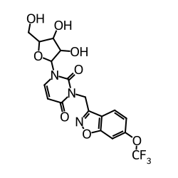 O=c1ccn(C2OC(CO)C(O)C2O)c(=O)n1Cc1noc2cc(OC(F)(F)F)ccc12